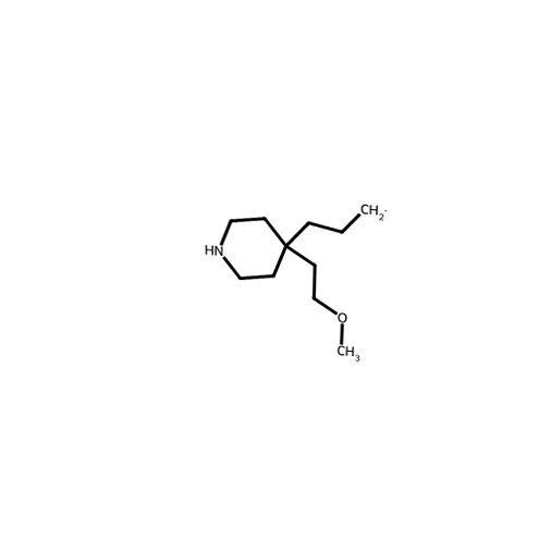 [CH2]CCC1(CCOC)CCNCC1